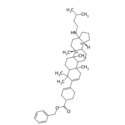 CC(C)CCNC12CCC[C@@H]1C1CCC3C4(C)CC=C(C5=CCC(C(=O)OCc6ccccc6)CC5)C(C)(C)C4CCC3(C)[C@]1(C)CC2